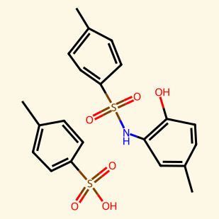 Cc1ccc(S(=O)(=O)Nc2cc(C)ccc2O)cc1.Cc1ccc(S(=O)(=O)O)cc1